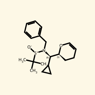 CC(C)(C)[S+]([O-])N(Cc1ccccc1)[C@H](C1CC1)[C@@H]1CCC=CO1